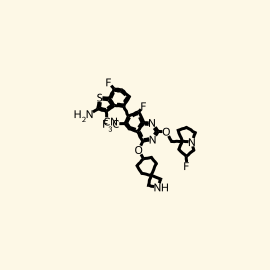 N#Cc1c(N)sc2c(F)ccc(-c3c(C(F)(F)F)cc4c(OC5CCC6(CC5)CNC6)nc(OCC56CCCN5CC(F)C6)nc4c3F)c12